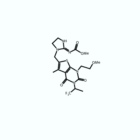 COCCn1c(=O)n(C(C)C(F)(F)F)c(=O)c2c(C)c(CN3CCNC3=NC(=O)OC)sc21